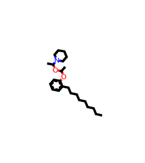 CCCCCCCCCc1ccccc1OC(C)OC(C)N1CCCCC1